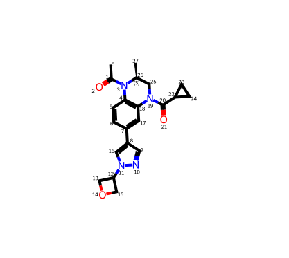 CC(=O)N1c2ccc(-c3cnn(C4COC4)c3)cc2N(C(=O)C2CC2)C[C@@H]1C